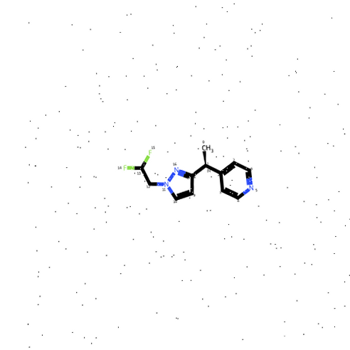 C[C@@H](c1ccncc1)c1ccn(CC(F)F)n1